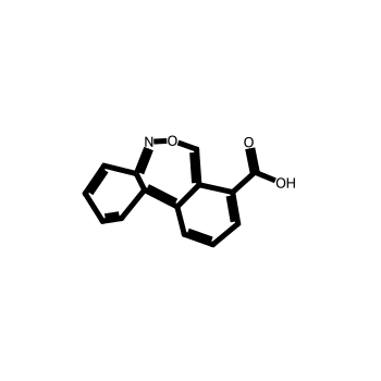 O=C(O)c1cccc2c1=CON=c1ccccc1=2